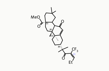 CC/C=C(\C(=O)C(C)(C)[C@@H]1CC[C@]2(C)C(=CC(=O)C3C4CC(C)(C)CC[C@]4(C(=O)OC)CC[C@]32C)C1)C(F)(F)F